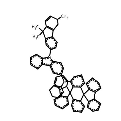 CC1C=CC2=C(C1)c1ccc(-n3c4ccccc4c4cc(N(C5=CCCC=C5)c5cccc6c5C5(c7ccccc7C7C=CC=CC75)c5ccccc5C65c6ccccc6-c6ccccc65)ccc43)cc1C2(C)C